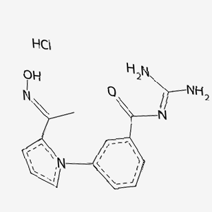 C/C(=N\O)c1cccn1-c1cccc(C(=O)N=C(N)N)c1.Cl